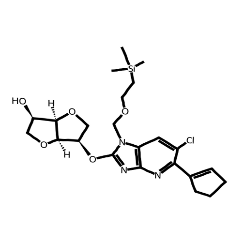 C[Si](C)(C)CCOCn1c(O[C@@H]2CO[C@H]3[C@@H]2OC[C@H]3O)nc2nc(C3=CCCC3)c(Cl)cc21